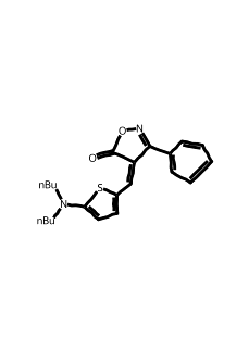 CCCCN(CCCC)c1ccc(C=C2C(=O)ON=C2c2ccccc2)s1